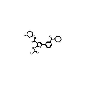 NC(=O)Nc1sc(-c2cccc(C(=O)N3CCCCC3)c2)cc1C(=O)N[C@H]1CCCNC1